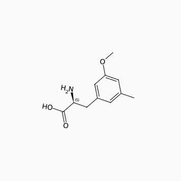 COc1cc(C)cc(C[C@H](N)C(=O)O)c1